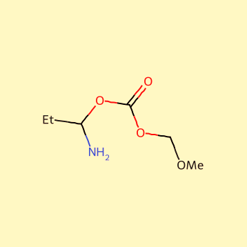 CCC(N)OC(=O)OCOC